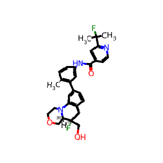 Cc1ccc(NC(=O)c2ccnc(C(C)(C)F)c2)cc1-c1ccc2c(c1)N1CCOC[C@@H]1[C@](F)(CO)C2